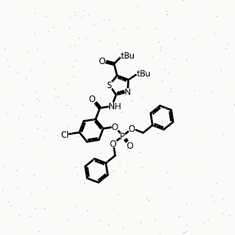 CC(C)(C)C(=O)c1sc(NC(=O)c2cc(Cl)ccc2OP(=O)(OCc2ccccc2)OCc2ccccc2)nc1C(C)(C)C